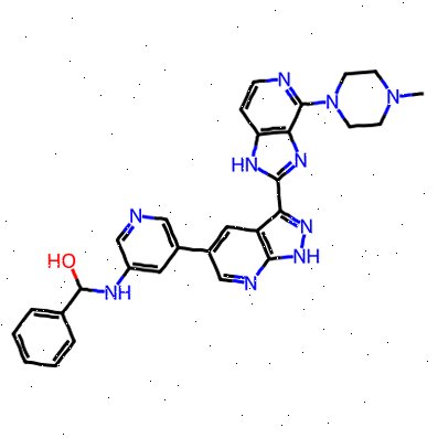 CN1CCN(c2nccc3[nH]c(-c4n[nH]c5ncc(-c6cncc(NC(O)c7ccccc7)c6)cc45)nc23)CC1